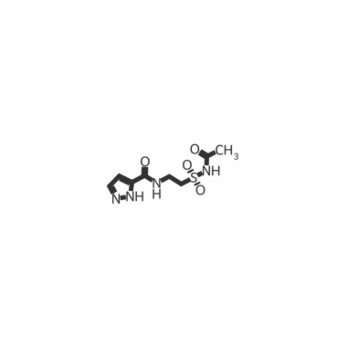 CC(=O)NS(=O)(=O)CCNC(=O)c1ccn[nH]1